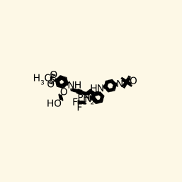 CS(=O)(=O)c1ccc(NCC#Cc2cc3c(n2CC(F)(F)P)=CCCC=3NC2CCC(N3CC4(COC4)C3)CC2)c(OCCO)c1